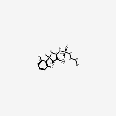 CC1(c2c(F)cccc2Cl)OC(NS(=O)(=O)CCCBr)=C(O)C1=O